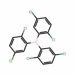 Clc1ccc(Cl)c(B(c2cc(Cl)ccc2Cl)c2cc(Cl)ccc2Cl)c1